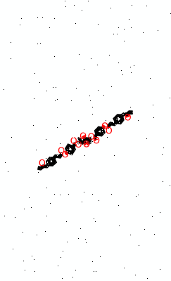 C=CC(=O)Cc1ccc(CCC(=O)Oc2ccc(C(=O)O[C@@H]3COC4C3OC[C@H]4OC(=O)c3ccc(OC(=O)CCc4ccc(CC(=O)C=C)cc4)cc3)cc2)cc1